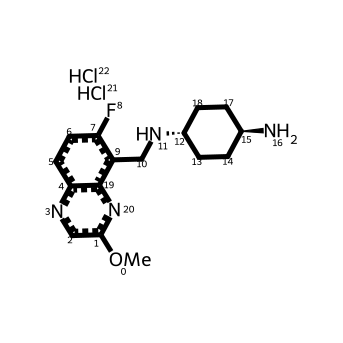 COc1cnc2ccc(F)c(CN[C@H]3CC[C@H](N)CC3)c2n1.Cl.Cl